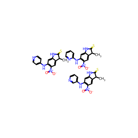 CC1C(=S)Nc2cc(Nc3ccccn3)c([N+](=O)[O-])cc21.CC1C(=S)Nc2cc(Nc3cccnc3)c([N+](=O)[O-])cc21.CC1C(=S)Nc2cc(Nc3ccncc3)c([N+](=O)[O-])cc21